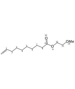 C=CCCCCCCCC(=O)OCCOC